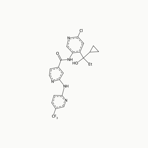 CCC(O)(c1cc(Cl)ncc1NC(=O)c1ccnc(Nc2ccc(C(F)(F)F)cn2)c1)C1CC1